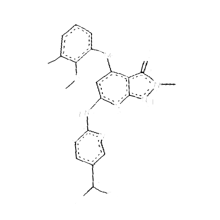 COc1c(Cl)cccc1Nc1cc(Nc2ccc(C(F)F)cn2)nc2[nH]n(C)c(=O)c12